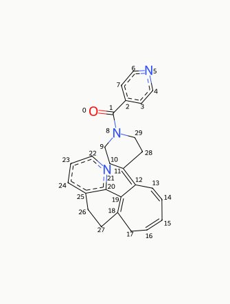 O=C(c1ccncc1)N1CCC(=C2C=CC=CCC3=C2c2ncccc2CC3)CC1